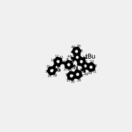 CC(C)(C)c1c2c(c(N(c3ccc(-c4cccc5c4sc4ccccc45)cc3)c3cccc4ccccc34)c3c1-c1ccccc1C3(C)C)C(C)(C)c1ccccc1-2